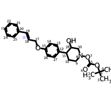 CC(C)(C)OC(=O)ON1CCC(c2ccc(OC/C=C/c3ccccc3)cc2)C(O)C1